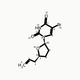 C=CC[C@@H]1CC[C@H](n2cc(Br)c(=O)[nH]c2=O)O1